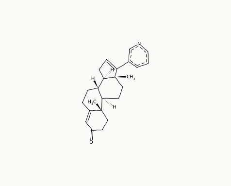 C[C@@]12CC[C@@H]3[C@H](CCC4=CC(=O)CC[C@]43C)[C@H]1CC=C2c1cccnc1